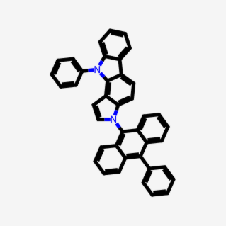 c1ccc(-c2c3ccccc3c(-n3ccc4c3ccc3c5ccccc5n(-c5ccccc5)c34)c3ccccc23)cc1